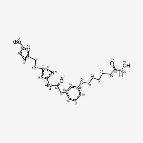 CC(C)(C)c1cnc(CSc2cnc(NC(=O)Cc3cccc(OCCCCCC(=O)NO)c3)s2)o1